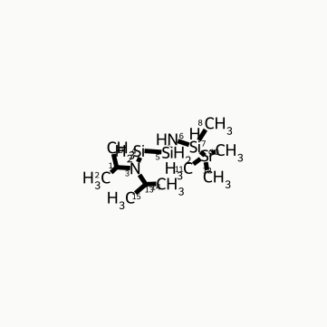 CC(C)N([SiH2][SiH2]N[SiH](C)[Si](C)(C)C)C(C)C